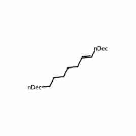 [CH2]CCCCCCCCC/C=C/CCCCCCCCCCCCCC[CH2]